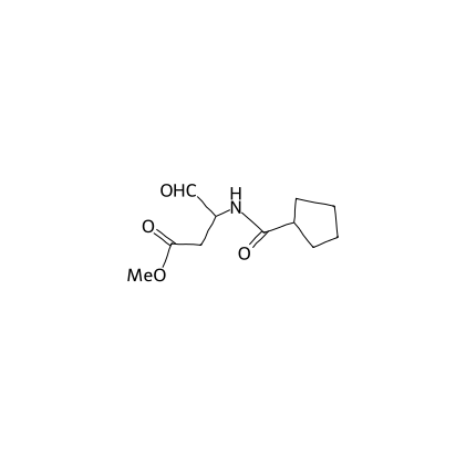 COC(=O)CC(C=O)NC(=O)C1CCCC1